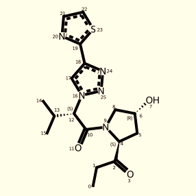 CCC(=O)[C@@H]1C[C@@H](O)CN1C(=O)[C@H](C(C)C)n1cc(-c2nccs2)nn1